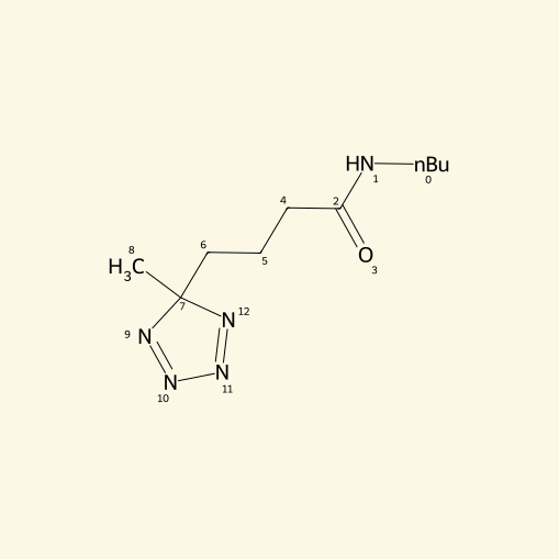 CCCCNC(=O)CCCC1(C)N=NN=N1